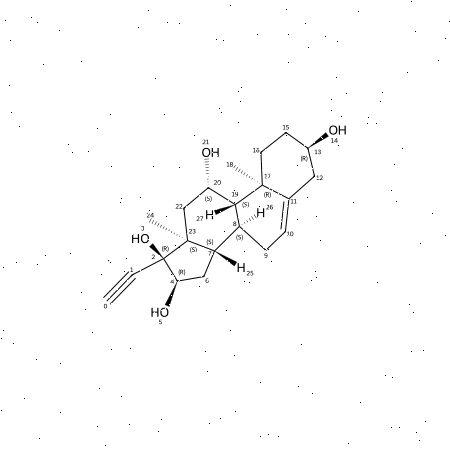 C#C[C@@]1(O)[C@H](O)C[C@H]2[C@@H]3CC=C4C[C@H](O)CC[C@]4(C)[C@H]3[C@@H](O)C[C@@]21C